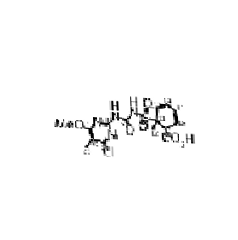 COc1nc(NC(=O)NS(=O)(=O)C2(C)C=CC=CC2C(=O)O)nc(Cl)c1C